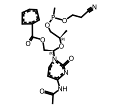 CC(=O)Nc1ccn([C@@H](COC(=O)c2ccccc2)O[C@H](C)COP(C)OCCC#N)c(=O)n1